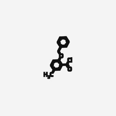 Cc1ccc(OCc2ccccc2)c(C(=O)Cl)c1